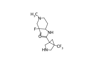 CN1CCC(NC(=O)C23CNCC2(C(F)(F)F)C3)C(F)(F)C1